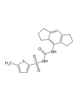 Cc1ccc(S(=O)(=O)NC(=O)Nc2c3c(cc4c2CCC4)CCC3)s1